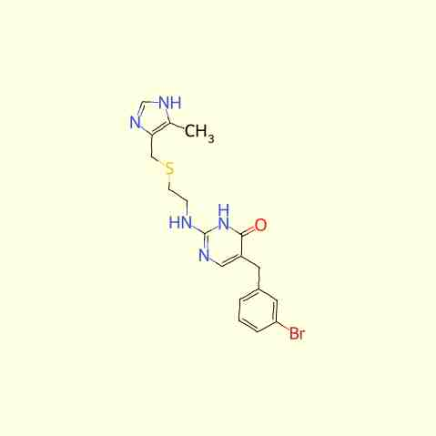 Cc1[nH]cnc1CSCCNc1ncc(Cc2cccc(Br)c2)c(=O)[nH]1